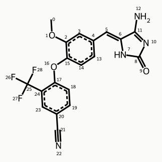 COc1cc(/C=C2\NC(=O)N=C2N)ccc1Oc1ccc(C#N)cc1C(F)(F)F